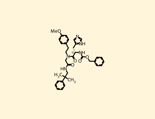 COc1ccc(CCN(CC(=O)NCC(C)(C)c2ccccc2)C(=O)[C@H](Cc2cnc[nH]2)NC(=O)OCc2ccccc2)cc1